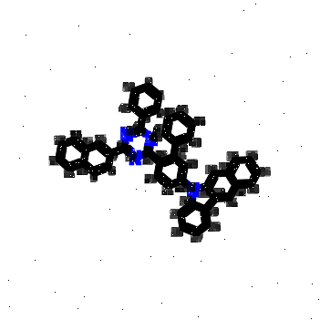 c1ccc(-c2nc(-c3ccc4ccccc4c3)nc(-c3ccc(-n4c5ccccc5c5cc6ccccc6cc54)cc3-c3ccccc3)n2)cc1